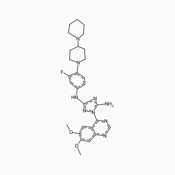 COc1cc2ncnc(-n3nc(Nc4ccc(N5CCC(N6CCCCC6)CC5)c(F)c4)nc3N)c2cc1OC